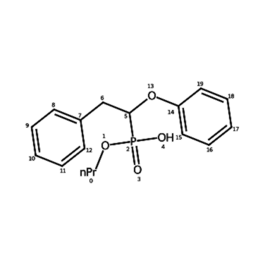 CCCOP(=O)(O)C(Cc1ccccc1)Oc1ccccc1